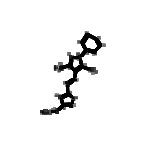 CCCCCCCCSc1nsc(N=Nc2c(C)nn(-c3ccccc3)c2N)n1